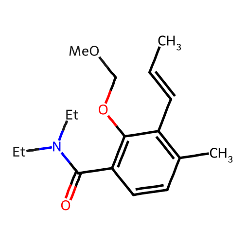 C/C=C/c1c(C)ccc(C(=O)N(CC)CC)c1OCOC